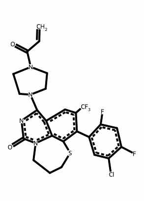 C=CC(=O)N1CCN(c2nc(=O)n3c4c(c(-c5cc(Cl)c(F)cc5F)c(C(F)(F)F)cc24)SCCC3)CC1